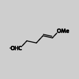 COC=CCC[C]=O